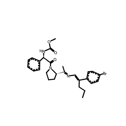 CCC/C(=C\N=C(/C)[C@@H]1CCCN1C(=O)[C@H](NC(=O)OC)c1ccccc1)c1ccc(Br)cc1